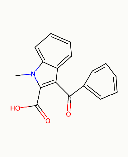 Cn1c(C(=O)O)c(C(=O)c2ccccc2)c2ccccc21